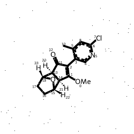 COC1=C(c2cnc(Cl)cc2C)C(=O)[C@H]2[C@@H]1[C@@H]1CC[C@H]2O1